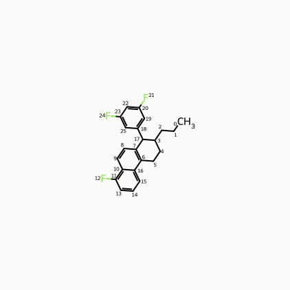 CCCC1CCc2c(ccc3c(F)cccc23)C1c1cc(F)cc(F)c1